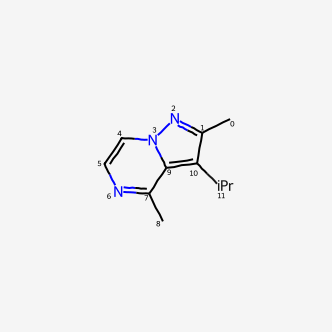 Cc1nn2ccnc(C)c2c1C(C)C